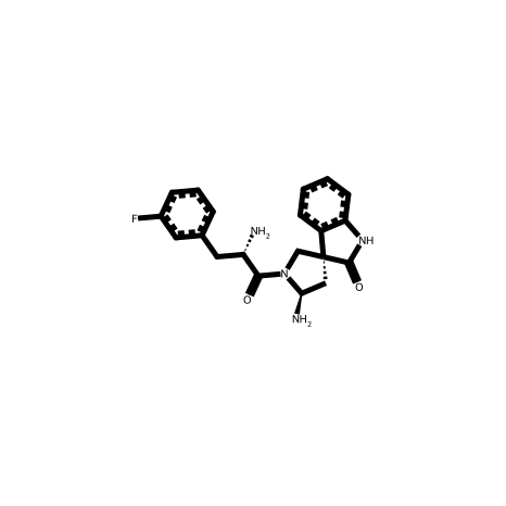 N[C@@H]1C[C@@]2(CN1C(=O)[C@@H](N)Cc1cccc(F)c1)C(=O)Nc1ccccc12